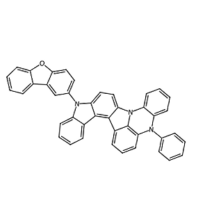 c1ccc(N2c3ccccc3-n3c4ccc5c(c6ccccc6n5-c5ccc6oc7ccccc7c6c5)c4c4cccc2c43)cc1